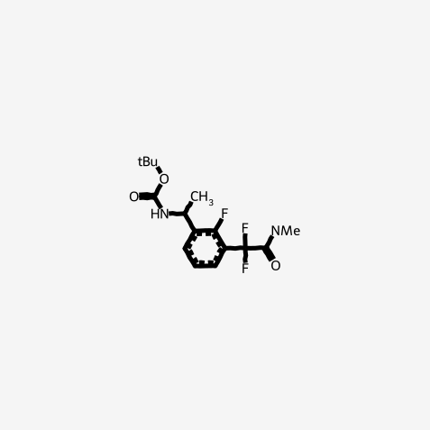 CNC(=O)C(F)(F)c1cccc(C(C)NC(=O)OC(C)(C)C)c1F